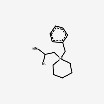 CCCCC(CC)C[N+]1(Cc2ccccc2)CCCCC1